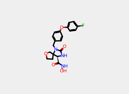 O=C(NO)[C@@H]1NC(=O)N(Cc2ccc(Oc3ccc(F)cc3)cc2)C12CCOC2